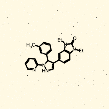 CCn1c(=O)n(CC)c2cc(C3=CNN(c4ccccn4)C3c3cccc(C)c3)ccc21